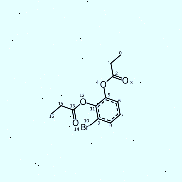 CCC(=O)Oc1cccc(Br)c1OC(=O)CC